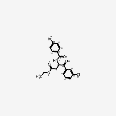 CCOC(=O)CC(NC(=O)c1ccc(Br)cc1)C(=O)c1cccc(Cl)c1